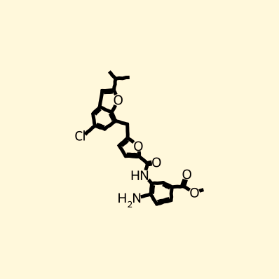 COC(=O)c1ccc(N)c(NC(=O)c2ccc(Cc3cc(Cl)cc4cc(C(C)C)oc34)o2)c1